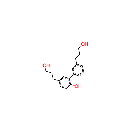 OCCCc1cccc(-c2cc(CCCO)ccc2O)c1